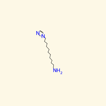 NCCCCCCCCCCCCn1ccnc1